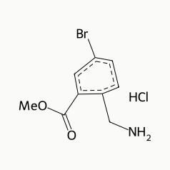 COC(=O)c1cc(Br)ccc1CN.Cl